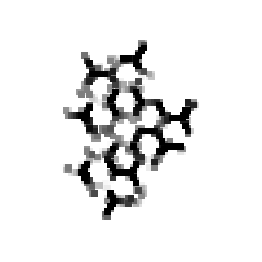 CC(=O)OC[C@H]1O[C@H](O[C@H]2[C@H](OC(C)=O)[C@@H](OC(C)=O)C(Br)O[C@@H]2COC(C)=O)[C@H](OC(C)=O)[C@@H](OC(C)=O)[C@@H]1OC(C)=O